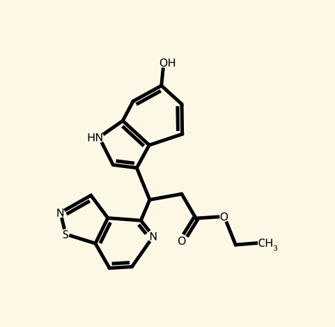 CCOC(=O)CC(c1c[nH]c2cc(O)ccc12)c1nccc2sncc12